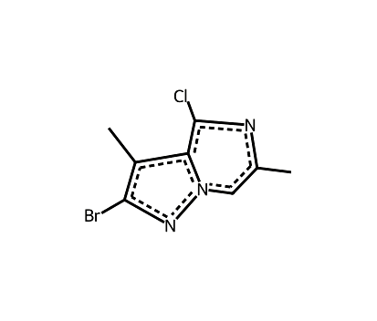 Cc1cn2nc(Br)c(C)c2c(Cl)n1